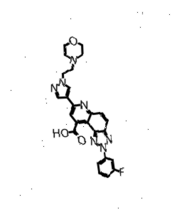 O=C(O)c1cc(-c2cnn(CCN3CCOCC3)c2)nc2ccc3nn(-c4cccc(F)c4)nc3c12